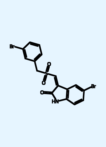 O=C1Nc2ccc(Br)cc2C1=CS(=O)(=O)Cc1cccc(Br)c1